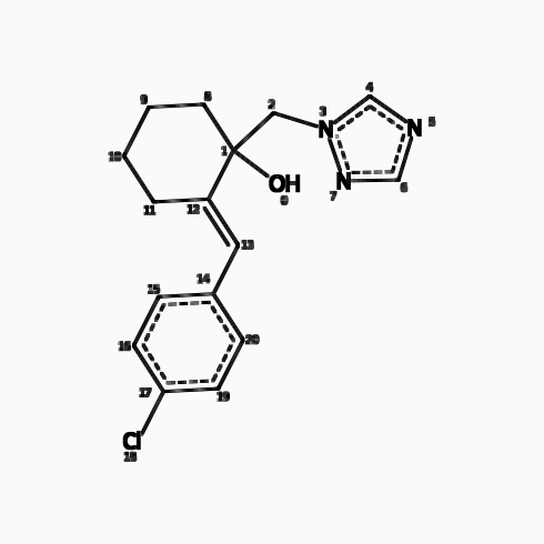 OC1(Cn2cncn2)CCCCC1=Cc1ccc(Cl)cc1